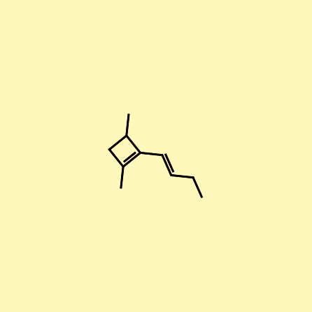 CCC=CC1=C(C)CC1C